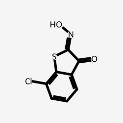 O=C1C(=NO)Sc2c(Cl)cccc21